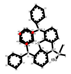 CC(C)(C)[Si](C)(C)N1c2cccc(P(c3ccccc3)c3ccccc3)c2Sc2c1cccc2P(c1ccccc1)c1ccccc1